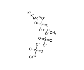 O.O.O=S(=O)([O-])[O-].O=S(=O)([O-])[O-].O=S(=O)([O-])[O-].[Ca+2].[K+].[K+].[Mg+2]